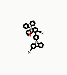 N#Cc1ccc2c(c1)c1ccccc1n2-c1ccc(-c2c(C#N)ccc([Si](c3ccccc3)(c3ccccc3)c3ccccc3)c2C#N)cc1